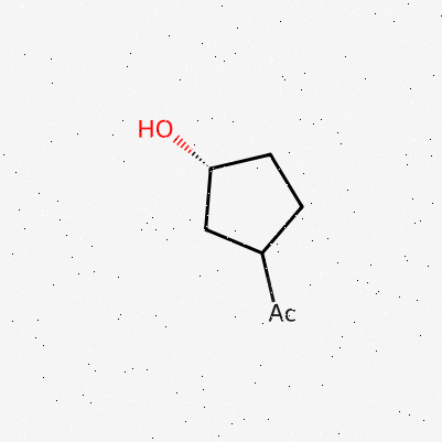 CC(=O)C1CC[C@@H](O)C1